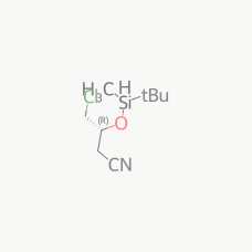 C[SiH](O[C@@H](CCl)CC#N)C(C)(C)C